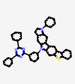 c1ccc(-c2nc(-c3ccccc3)nc(-c3cccc(-n4c5cc6ccn(-c7ccccc7)c6cc5c5cc6c(cc54)sc4ccccc46)c3)n2)cc1